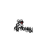 Cn1cc(/C=C2\Oc3ccc(NC(=O)Nc4cccnc4)cc3C2=O)c2c(N3CCC(C(=O)N4CC5CCC4CO5)CC3)ccnc21